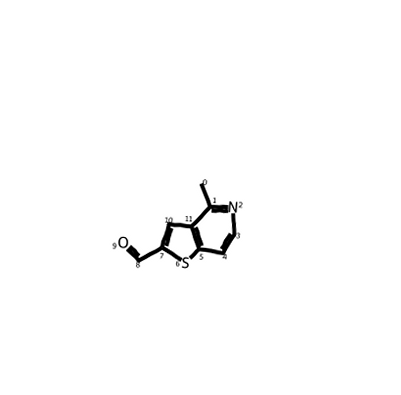 Cc1nccc2sc(C=O)cc12